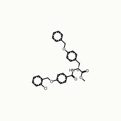 COC(=O)[C@H](Cc1ccc(OCc2ccccc2)cc1)NC(=O)c1ccc(OCc2ccccc2Cl)cc1